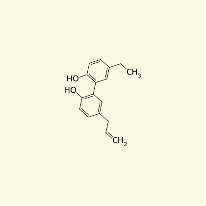 C=CCc1ccc(O)c(-c2cc(CC)ccc2O)c1